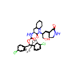 CC(C)(c1cccc(Cl)c1)C(OC(=O)NC(CC1CCCCC1)C(=O)NC(CO)CC1CCNC1=O)c1ccc(Cl)cc1